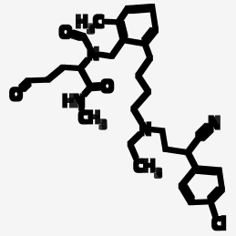 CCN(CCCCc1cccc(C)c1CN(C=O)C(CCC=O)C(=O)NC)CCC(C#N)c1ccc(Cl)cc1